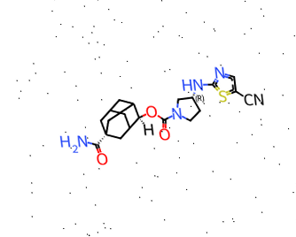 N#Cc1cnc(N[C@@H]2CCN(C(=O)O[C@H]3C4CC5CC3C[C@](C(N)=O)(C5)C4)C2)s1